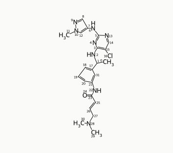 CC(Nc1nc(Nc2cnn(C)c2)ncc1Cl)c1cccc(NC(=O)C=CCN(C)C)c1